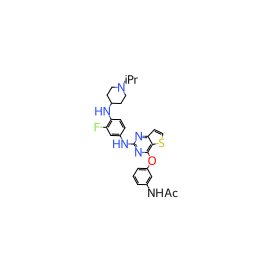 CC(=O)Nc1cccc(Oc2nc(Nc3ccc(NC4CCN(C(C)C)CC4)c(F)c3)nc3ccsc23)c1